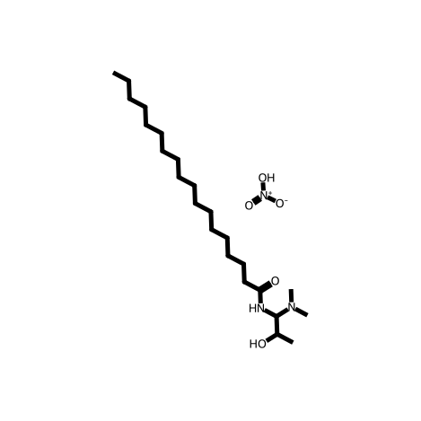 CCCCCCCCCCCCCCCCCC(=O)NC(C(C)O)N(C)C.O=[N+]([O-])O